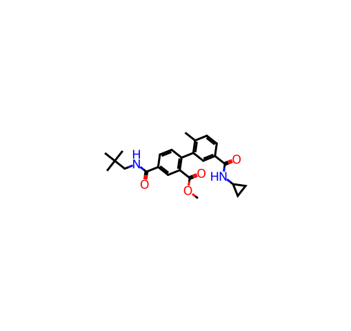 COC(=O)c1cc(C(=O)NCC(C)(C)C)ccc1-c1cc(C(=O)NC2CC2)ccc1C